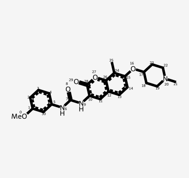 COc1cccc(NC(=O)Nc2cc3ccc(OC4CCN(C)CC4)c(C)c3oc2=O)c1